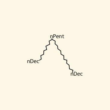 [CH2]CCCCC(CCCCCCCCCCCCCCCCCC)CCCCCCCCCCCCCCCCCCCCCCC